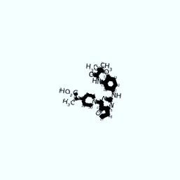 CN(C(=O)O)C1CCN(c2nc(Nc3ccc4c(c3)NC(=O)C(C)(C)O4)nc3ccoc23)CC1